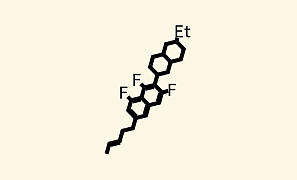 C/C=C/CCc1cc(F)c2c(F)c(C3CCC4CC(CC)CCC4C3)c(F)cc2c1